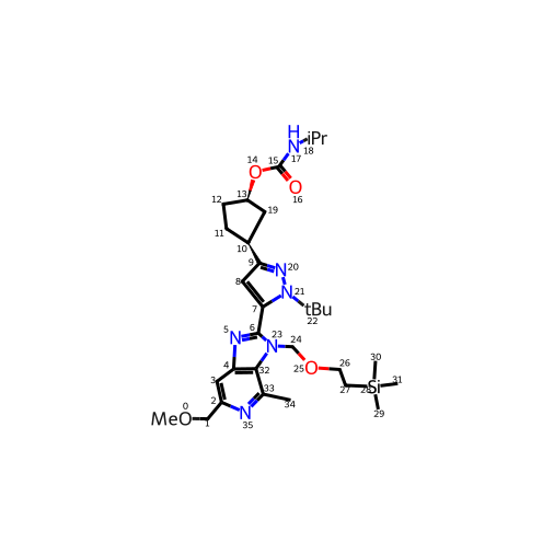 COCc1cc2nc(-c3cc([C@H]4CC[C@@H](OC(=O)NC(C)C)C4)nn3C(C)(C)C)n(COCC[Si](C)(C)C)c2c(C)n1